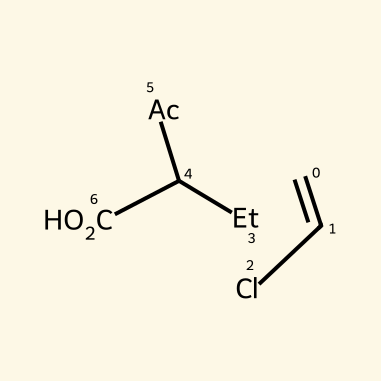 C=CCl.CCC(C(C)=O)C(=O)O